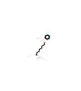 C=C(CCCCCCC(=O)Oc1c(C)c(F)c(F)c(F)c1F)NCCCC